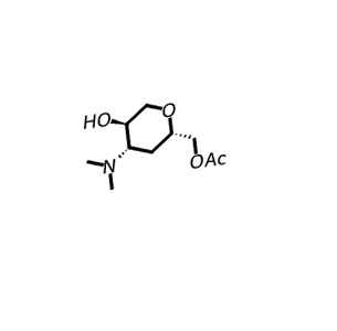 CC(=O)OC[C@@H]1C[C@H](N(C)C)[C@@H](O)CO1